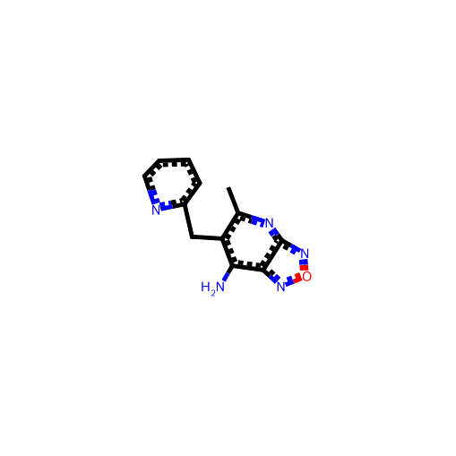 Cc1nc2nonc2c(N)c1Cc1ccccn1